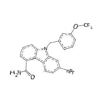 CCCc1c[c]c2c3c(C(N)=O)cccc3n(Cc3cccc(OC(F)(F)F)c3)c2c1